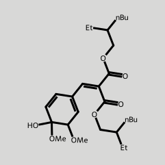 CCCCC(CC)COC(=O)C(=CC1=CC(OC)C(O)(OC)C=C1)C(=O)OCC(CC)CCCC